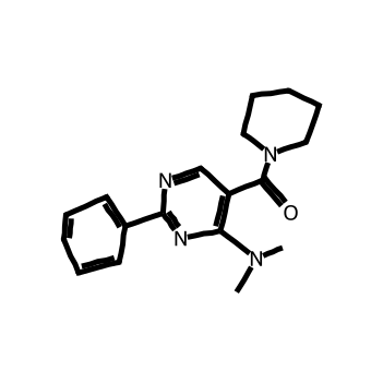 CN(C)c1nc(-c2ccccc2)ncc1C(=O)N1CCCCC1